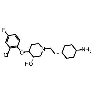 N[C@H]1CC[C@H](CCN2CC[C@H](Oc3ccc(F)cc3Cl)[C@@H](O)C2)CC1